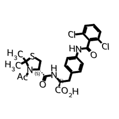 CC(=O)N1[C@@H](C(=O)N[C@@H](Cc2ccc(NC(=O)c3c(Cl)cccc3Cl)cc2)C(=O)O)CSC1(C)C